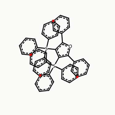 c1ccc(-c2oc(-c3ccccc3)c(S(c3ccccc3)(c3ccccc3)c3ccccc3)c2S(c2ccccc2)(c2ccccc2)c2ccccc2)cc1